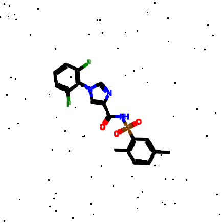 Cc1ccc(C)c(S(=O)(=O)NC(=O)c2cn(-c3c(F)cccc3F)cn2)c1